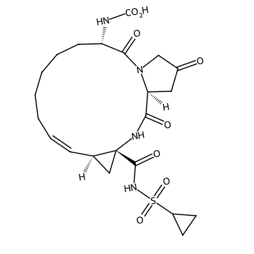 O=C1C[C@H]2C(=O)N[C@]3(C(=O)NS(=O)(=O)C4CC4)C[C@H]3C=CCCCCC[C@H](NC(=O)O)C(=O)N2C1